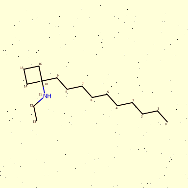 CCCCCCCCCCC1(NCC)CCC1